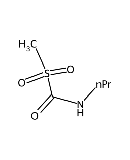 CCCNC(=O)S(C)(=O)=O